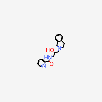 O=C(NCC(O)CN1CCc2ccccc2C1)c1ccccn1